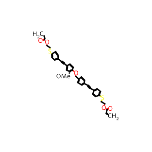 C=CC(=O)OCCSc1ccc(C#Cc2ccc(COc3ccc(C#Cc4ccc(SCCOC(=O)C=C)cc4)cc3OC)cc2)cc1